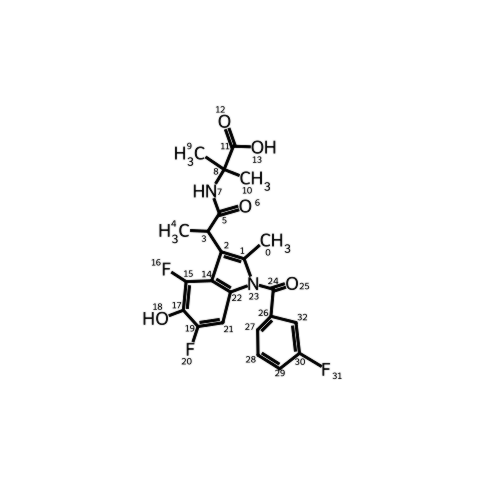 Cc1c(C(C)C(=O)NC(C)(C)C(=O)O)c2c(F)c(O)c(F)cc2n1C(=O)c1cccc(F)c1